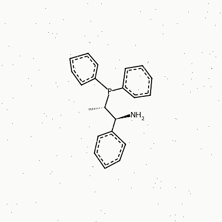 C[C@@H]([C@@H](N)c1ccccc1)P(c1ccccc1)c1ccccc1